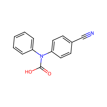 N#Cc1ccc(N(C(=O)O)c2ccccc2)cc1